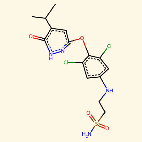 CC(C)c1cc(Oc2c(Cl)cc(NCCS(N)(=O)=O)cc2Cl)n[nH]c1=O